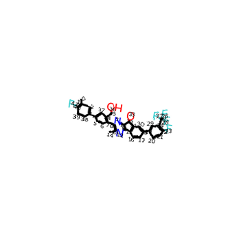 Cc1cc(-c2ccc(-c3nc4c(nc3C)-c3ccc(-c5ccc(F)c(C(F)(F)F)c5)cc3C4=O)c(CO)c2)ccc1F